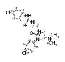 CN(C)CCN(CCNC(=S)Nc1ccc(Cl)cc1)C(=S)Nc1ccc(Cl)cc1